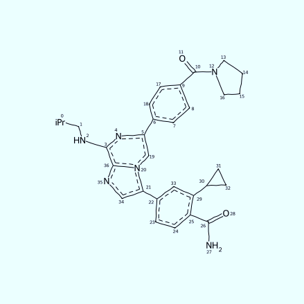 CC(C)CNc1nc(-c2ccc(C(=O)N3CCCC3)cc2)cn2c(-c3ccc(C(N)=O)c(C4CC4)c3)cnc12